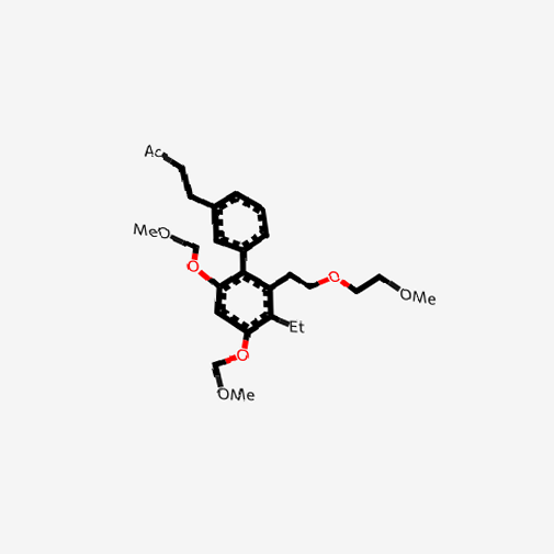 CCc1c(OCOC)cc(OCOC)c(-c2cccc(CCC(C)=O)c2)c1CCOCCOC